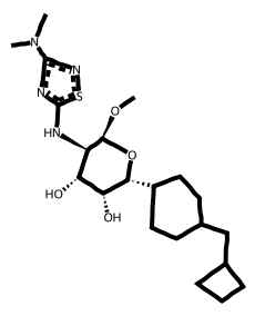 CO[C@H]1O[C@H](C2CCC(CC3CCC3)CC2)[C@H](O)[C@H](O)[C@H]1Nc1nc(N(C)C)ns1